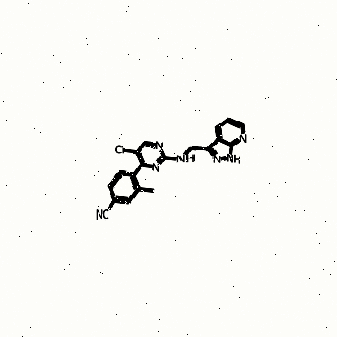 Cc1cc(C#N)ccc1-c1nc(NCc2n[nH]c3ncccc23)ncc1Cl